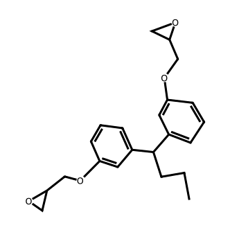 CCCC(c1cccc(OCC2CO2)c1)c1cccc(OCC2CO2)c1